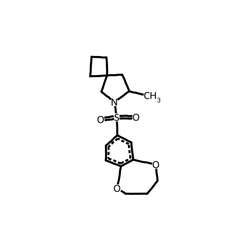 CC1CC2(CCC2)CN1S(=O)(=O)c1ccc2c(c1)OCCCO2